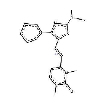 CN(C)c1nc(-c2ccccc2)c(/C=C/c2cc[n+](C)c(=O)n2C)s1